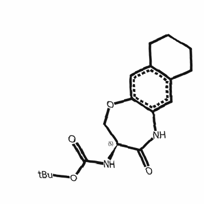 CC(C)(C)OC(=O)N[C@H]1COc2cc3c(cc2NC1=O)CCCC3